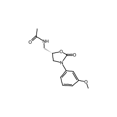 COc1cccc(N2C[C@H](CNC(C)=O)OC2=O)c1